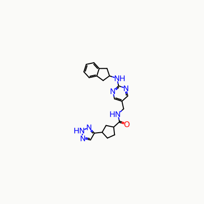 O=C(NCc1cnc(NC2Cc3ccccc3C2)nc1)C1CCC(c2cn[nH]n2)C1